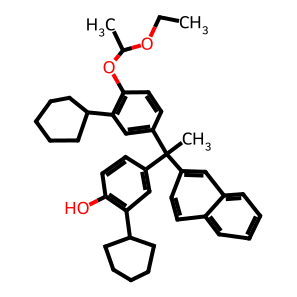 CCOC(C)Oc1ccc(C(C)(c2ccc(O)c(C3CCCCC3)c2)c2ccc3ccccc3c2)cc1C1CCCCC1